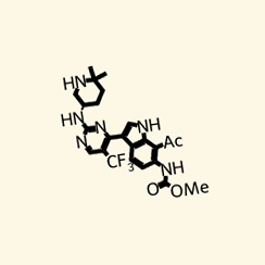 COC(=O)Nc1ccc2c(-c3nc(N[C@H]4CCC(C)(C)NC4)ncc3C(F)(F)F)c[nH]c2c1C(C)=O